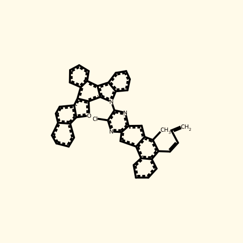 C=C/C=C\c1c(C)c2cc3nc(-n4c5ccccc5c5c6ccccc6c6c7ccc8ccccc8c7oc6c54)c(Cl)nc3cc2c2ccccc12